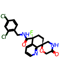 O=C1CO[C@@]2(CC[C@](F)(C(=O)NCc3ccc(Cl)cc3Cl)c3cccnc32)CN1